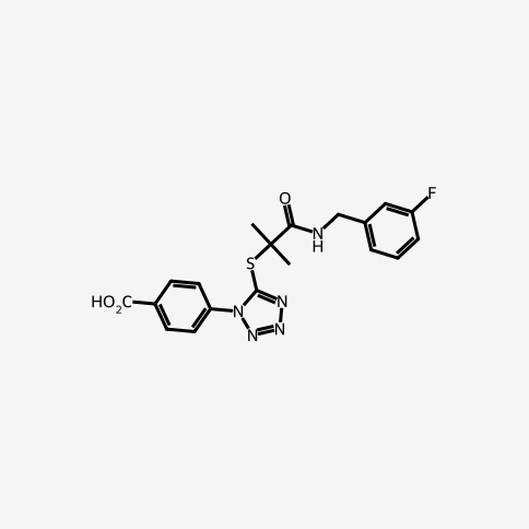 CC(C)(Sc1nnnn1-c1ccc(C(=O)O)cc1)C(=O)NCc1cccc(F)c1